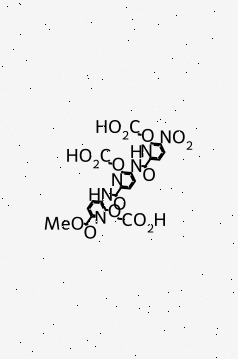 COC(=O)c1ccc(NC(=O)c2ccc(NC(=O)c3ccc([N+](=O)[O-])c(OCC(=O)O)n3)c(OCC(=O)O)n2)c(OCC(=O)O)n1